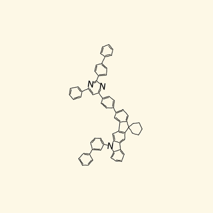 c1ccc(-c2ccc(-c3nc(-c4ccccc4)cc(-c4ccc(-c5ccc6c(c5)-c5cc7c(cc5C65CCCCC5)c5ccccc5n7-c5cccc(-c6ccccc6)c5)cc4)n3)cc2)cc1